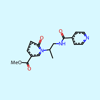 COC(=O)c1ccc(=O)n(C(C)CNC(=O)c2ccncc2)c1